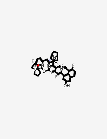 C#Cc1c(F)ccc2cc(O)cc(-c3ncc4c(N5CC6CCC(C5)N6C(=O)/C(F)=C/c5cccnn5)nc(OC[C@@]56CCCN5C[C@H](F)C6)nc4c3F)c12